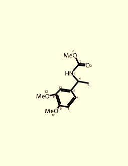 COC(=O)NC(C)c1ccc(OC)c(OC)c1